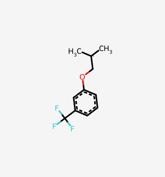 C[C](C)COc1cccc(C(F)(F)F)c1